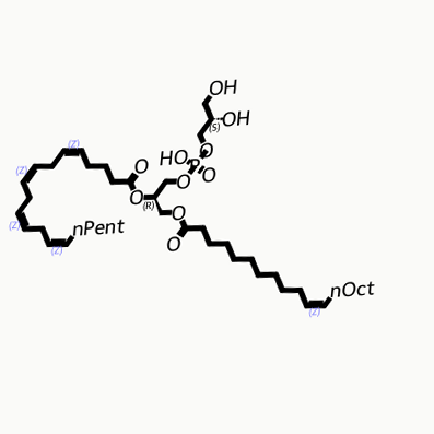 CCCCC/C=C\C/C=C\C/C=C\C/C=C\CCCC(=O)O[C@H](COC(=O)CCCCCCCCC/C=C\CCCCCCCC)COP(=O)(O)OC[C@@H](O)CO